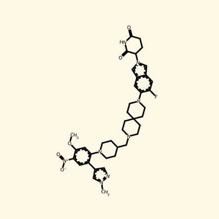 COc1cc(N2CCC(CN3CCC4(CC3)CCN(c3cc5cn(C6CCC(=O)NC6=O)cc5cc3F)CC4)CC2)c(-c2cnn(C)c2)cc1[N+](=O)[O-]